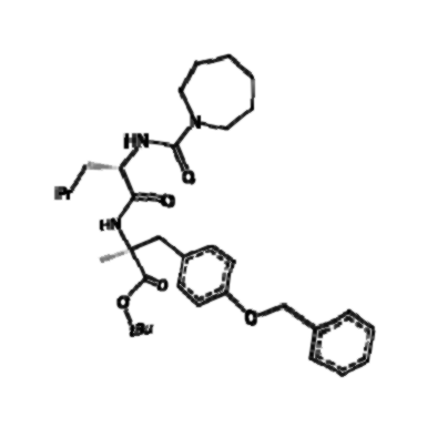 CC(C)C[C@H](NC(=O)N1CCCCCC1)C(=O)N[C@@](C)(Cc1ccc(OCc2ccccc2)cc1)C(=O)OC(C)(C)C